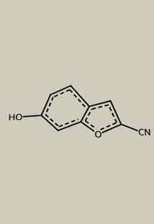 N#Cc1cc2ccc(O)cc2o1